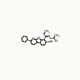 C=C/C(=N/CC(=C)CC)c1c(CCC)ccc2c1oc1nc(-c3ccccc3)ccc12